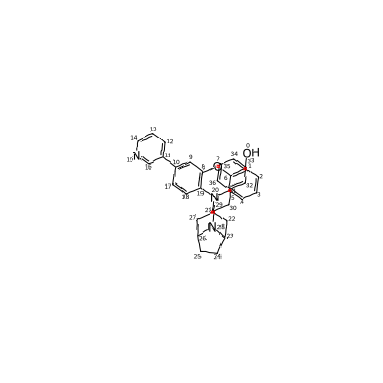 Oc1cccc2c1Oc1cc(-c3cccnc3)ccc1N2C1CC2CCC(C1)N2CCc1ccccc1